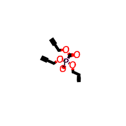 C#CCOC(=O)P(=O)(OCC#C)OCC=C